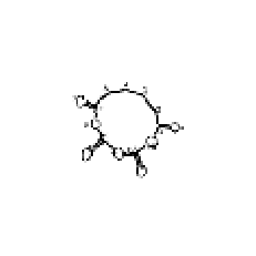 O=C1CCCCC(=O)OC(=O)OC(=O)O1